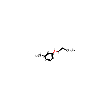 CCOC(=O)CCOc1cccc(NC(C)=O)c1